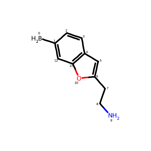 Bc1ccc2cc(CCN)oc2c1